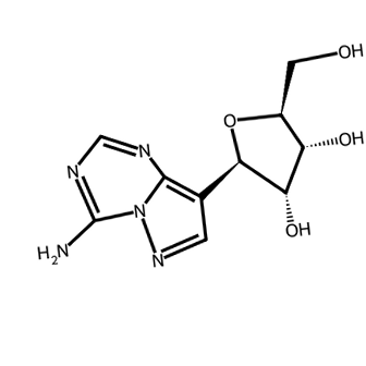 Nc1ncnc2c([C@H]3O[C@@H](CO)[C@H](O)[C@@H]3O)cnn12